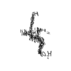 N=C(N)NCCC[C@@H](NC(=O)COCCOCCOCCO)C(=O)NCC(=O)N[C@@H](CCCCN)C(=O)Nc1ccc2nc(C3=N[C@@H](C(=O)O)CS3)sc2c1